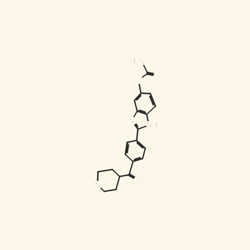 NC(=O)Oc1ccc2[nH]c(-c3ccc(C(=O)C4CCNCC4)cc3)nc2c1